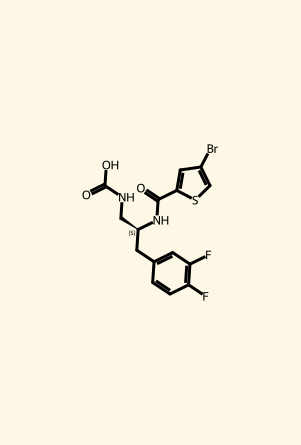 O=C(O)NC[C@H](Cc1ccc(F)c(F)c1)NC(=O)c1cc(Br)cs1